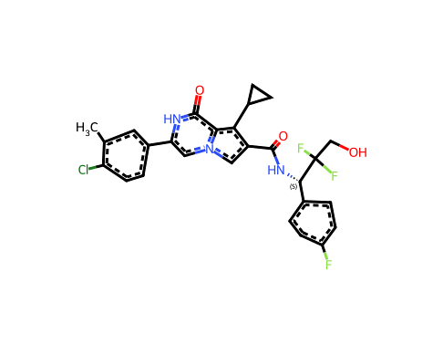 Cc1cc(-c2cn3cc(C(=O)N[C@@H](c4ccc(F)cc4)C(F)(F)CO)c(C4CC4)c3c(=O)[nH]2)ccc1Cl